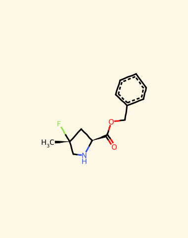 C[C@]1(F)CN[C@H](C(=O)OCc2ccccc2)C1